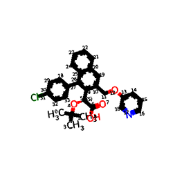 CC(C)(C)O[C@H](C(=O)O)c1c(COc2cccnc2)cc2ccccc2c1-c1ccc(Cl)cc1